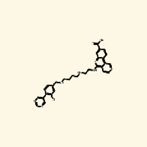 NC(=O)c1ccc2c(c1)nc(NCCNCCCCNCc1ccc(-c3cncnc3)c(Cl)c1)c1ccncc12